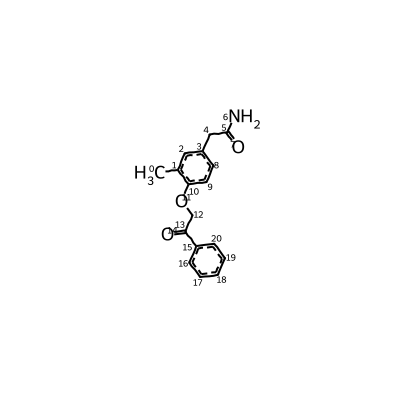 Cc1cc(CC(N)=O)ccc1OCC(=O)c1ccccc1